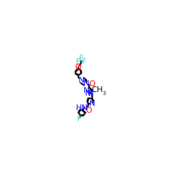 Cc1c(C(=O)N2CCN(Cc3ccc(OCC(F)(F)F)cc3)CC2)nnn1Cc1ccc(C(=O)Nc2ccc(F)cc2)nc1